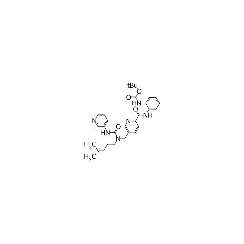 CN(C)CCCN(Cc1ccc(C(=O)Nc2ccccc2NC(=O)OC(C)(C)C)nc1)C(=O)Nc1cccnc1